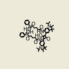 CC(C)N1c2cc(NC(=O)CCCC(=O)N(O)c3ccccc3)c(C3=C(O)/C(=c4/cc5c(cc4NC(=O)CCCC(=O)N(O)c4ccccc4)=[N+](C(C)C)C(C)C5(C)C)C3=O)cc2C(C)(C)C1C